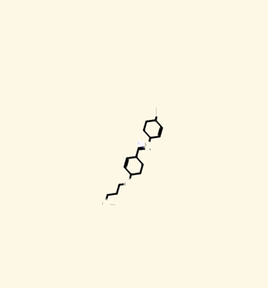 CCCCOC1C=CC(/C=N/C2C=CC(F)CC2)CC1